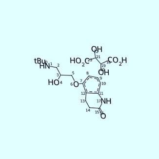 CC(C)(C)NCC(O)COc1cccc2c1CCC(=O)N2.O=C(O)C(O)C(O)C(=O)O